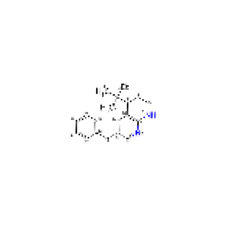 CCC(C)(C)C1CCNc2ncc(Cc3ccccc3)cc21